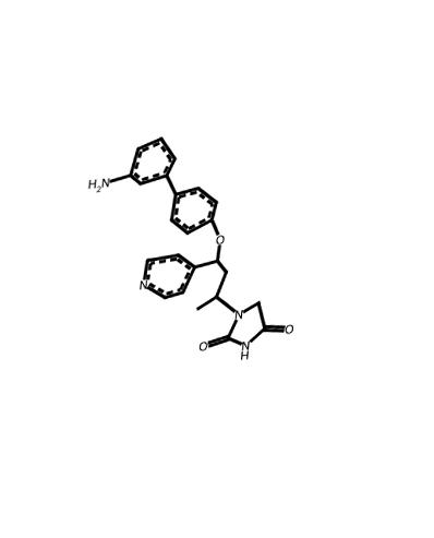 CC(CC(Oc1ccc(-c2cccc(N)c2)cc1)c1ccncc1)N1CC(=O)NC1=O